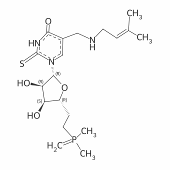 C=P(C)(C)CC[C@H]1O[C@@H](n2cc(CNCC=C(C)C)c(=O)[nH]c2=S)[C@H](O)[C@@H]1O